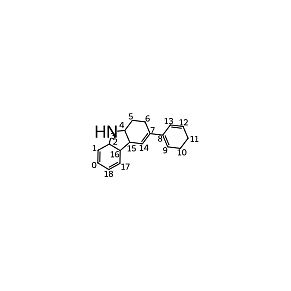 C1=CC2NC3CCC(C4=CCCC=C4)=CC3C2C=C1